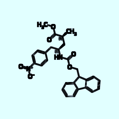 COC(=O)[C@@H](C)C[C@H](Cc1ccc([N+](=O)[O-])cc1)NC(=O)OCC1c2ccccc2-c2ccccc21